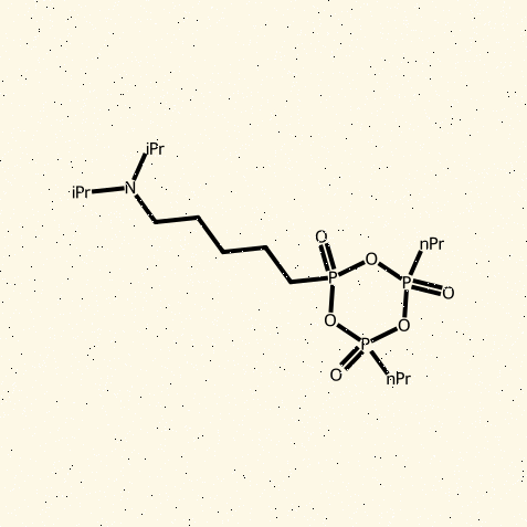 CCCP1(=O)OP(=O)(CCC)OP(=O)(CCCCCN(C(C)C)C(C)C)O1